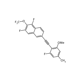 COc1cc(C)cc(F)c1C#Cc1ccc2c(F)c(OC(F)(F)F)c(F)cc2c1